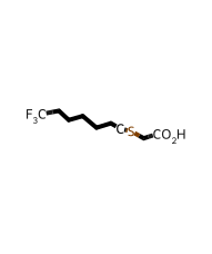 O=C(O)CSCCCCCCC(F)(F)F